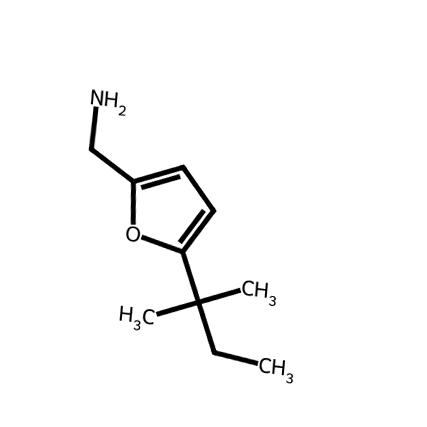 CCC(C)(C)c1ccc(CN)o1